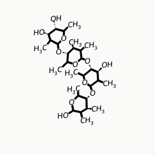 CC1OC(O[C@H]2C(C)OC(O[C@H]3C(C)OC(O[C@H]4C(C)OC(O)C(C)[C@@H]4C)C(C)[C@@H]3O)C(C)[C@@H]2C)C(C)[C@H](O)[C@@H]1O